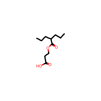 CCCC(CCC)C(=O)OCCC(=O)O